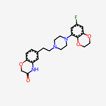 O=C1COc2ccc(CCN3CCN(c4cc(F)cc5c4OCCO5)CC3)cc2N1